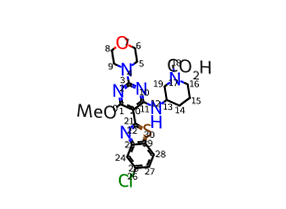 COc1nc(N2CCOCC2)nc(NC2CCCN(C(=O)O)C2)c1-c1nc2cc(Cl)ccc2s1